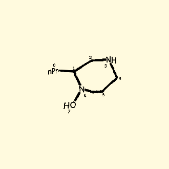 CCCC1CNCCN1O